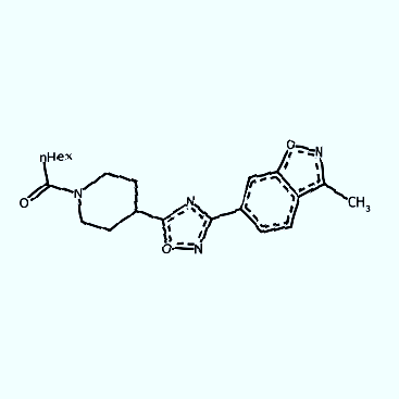 CCCCCCC(=O)N1CCC(c2nc(-c3ccc4c(C)noc4c3)no2)CC1